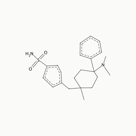 CN(C)C1(c2ccccc2)CCC(C)(Cc2ccc(S(N)(=O)=O)cc2)CC1